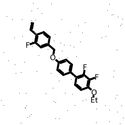 C=Cc1ccc(COc2ccc(-c3ccc(OCC)c(F)c3F)cc2)cc1F